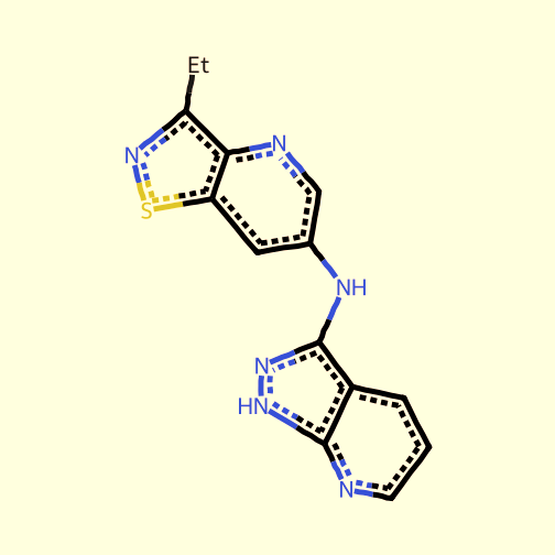 CCc1nsc2cc(Nc3n[nH]c4ncccc34)cnc12